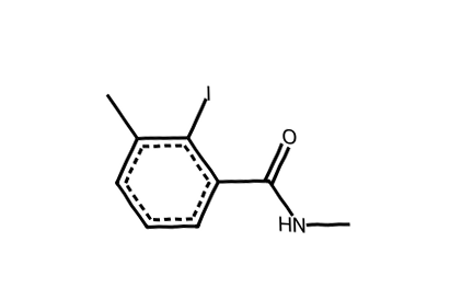 CNC(=O)c1cccc(C)c1I